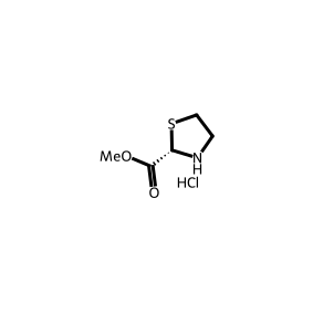 COC(=O)[C@H]1NCCS1.Cl